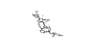 CC(C)C[C@H](NC(=O)[C@@H]1CCCN1C(=O)CNC(=O)OC(C)(C)C)C(=O)N[C@@H](C)C(=O)NO